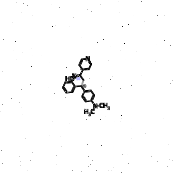 CN(C)c1ccc([C@@H](C/C(=N\O)c2ccncc2)c2ccccc2)cc1